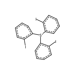 Ic1ccccc1[S+](c1ccccc1I)c1ccccc1I